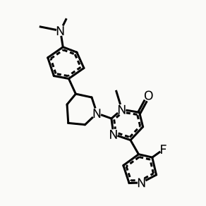 CN(C)c1ccc(C2CCCN(c3nc(-c4ccncc4F)cc(=O)n3C)C2)cc1